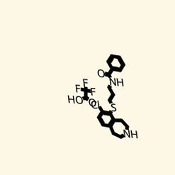 O=C(NCCCSc1c(Cl)ccc2c1CCNCC2)c1ccccc1.O=C(O)C(F)(F)F